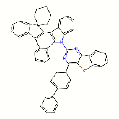 c1ccc(-c2ccc(-c3nc(-n4c5ccccc5c5c6c(c7ccccc7c54)-c4ccccc4C64CCCCC4)nc4c3sc3ccccc34)cc2)cc1